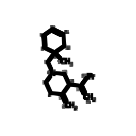 C=C1CCN(CC2(C)C=CC=CC2)CC1C(=C)C(C)C